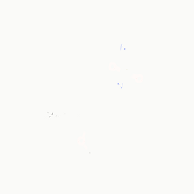 COc1cc(CNS(=O)(=O)c2ccccn2)cc2c1OC(C)(C)C=C2